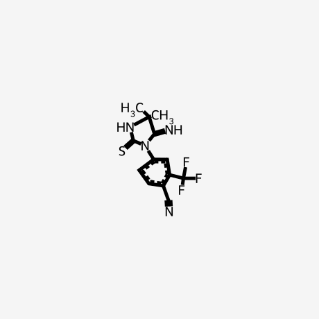 CC1(C)NC(=S)N(c2ccc(C#N)c(C(F)(F)F)c2)C1=N